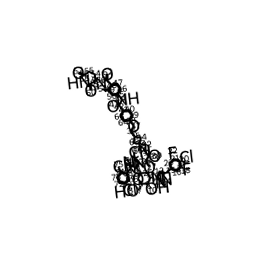 Cc1nc([C@@H]2O[C@H](CO)[C@H](O)[C@H](n3cc(-c4cc(F)c(Cl)c(F)c4)nn3)[C@H]2OCC(=O)N2CC3(CC(COc4ccc(C(=O)Nc5ccc6c(c5)CN(C5CCC(=O)NC5=O)C6=O)cc4)C3)C2)n(-c2cc(Cl)ccc2C(F)(F)F)n1